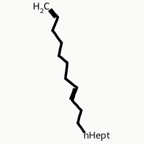 C=CCCCCCC=CCCCCCCCCC